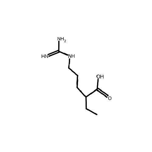 CCC(CCCNC(=N)N)C(=O)O